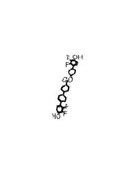 O=C(OC1CCC(c2ccc(O)c(F)c2F)CC1)C1CCC(C2CC=C(c3ccc(O)c(F)c3F)CC2)CC1